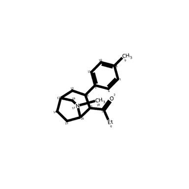 CCC(=O)C1C(c2ccc(C)cc2)CC2CCC1N(C)C2